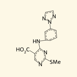 CSc1ncc(C(=O)O)c(Nc2cccc(-n3nccn3)c2)n1